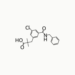 CC(C)(Cc1cc(Cl)cc(C(=O)NCc2ccccc2)c1)C(=O)O